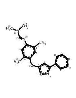 Cc1cc(Oc2cc(-c3ccccc3)ns2)c(C)cc1N=CN(C)C